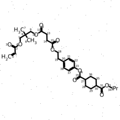 C=CC(=O)OCC(C)(C)COC(=O)CCC(=O)OCCc1ccc(OC(=O)C2CCC(C(=O)OC(C)C)CC2)cc1